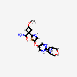 COC1CC(C(N)=O)(c2ncc(Oc3cnc(N4C5CCC4COC5)nc3)s2)C1